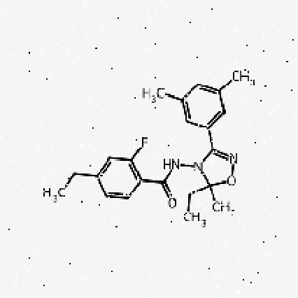 CCc1ccc(C(=O)NN2C(c3cc(C)cc(C)c3)=NOC2(C)CC)c(F)c1